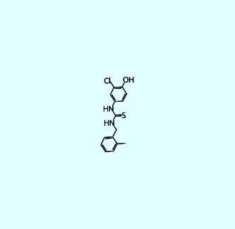 Cc1ccccc1CNC(=S)Nc1ccc(O)c(Cl)c1